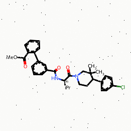 COC(=O)c1ccccc1-c1cccc(C(=O)N[C@@H](C(=O)N2CCC(c3ccc(Cl)cc3)C(C)(C)C2)C(C)C)c1